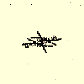 CCCCCCCCC(CCCCCC)CN1C(=O)C2=C(c3ncc(-c4cc(CCCCCC)c(-c5cc(CCCCCC)c(Br)s5)s4)s3)N(CC(CCCCCC)CCCCCCCC)C(=O)C2=C1c1ncc(-c2cc(CCCCCC)c(-c3cc(CCCCCC)c(Br)s3)s2)s1